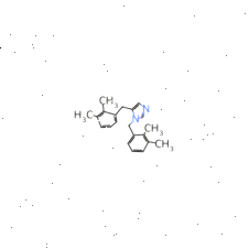 Cc1cccc(Cc2cncn2Cc2cccc(C)c2C)c1C